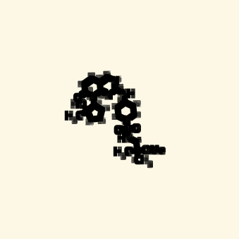 COC(C)(C)CNS(=O)(=O)N1CCC(Nc2ncc3ccc(=O)n(C4CCCC4(C)O)c3n2)CC1